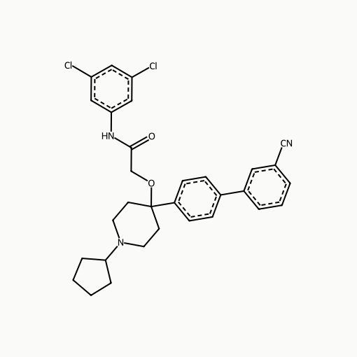 N#Cc1cccc(-c2ccc(C3(OCC(=O)Nc4cc(Cl)cc(Cl)c4)CCN(C4CCCC4)CC3)cc2)c1